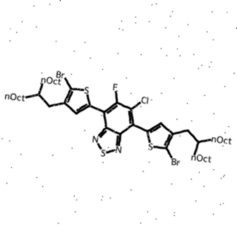 CCCCCCCCC(CCCCCCCC)Cc1cc(-c2c(F)c(Cl)c(-c3cc(CC(CCCCCCCC)CCCCCCCC)c(Br)s3)c3nsnc23)sc1Br